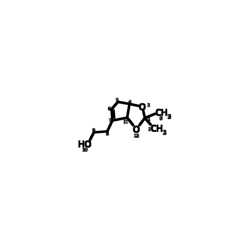 CC1(C)OC2CC=C(CCO)C2O1